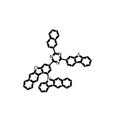 c1ccc2cc(-c3nc(-c4cc(-n5c6ccccc6c6cc7ccccc7cc65)c5c(c4)oc4cc6ccccc6cc45)nc(-c4ccc5c(c4)sc4ccccc45)n3)ccc2c1